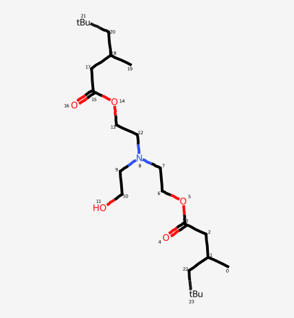 CC(CC(=O)OCCN(CCO)CCOC(=O)CC(C)CC(C)(C)C)CC(C)(C)C